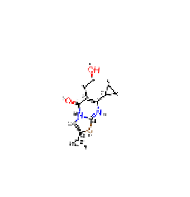 O=c1c(CCO)c(C2CC2)nc2sc(C(F)(F)F)cn12